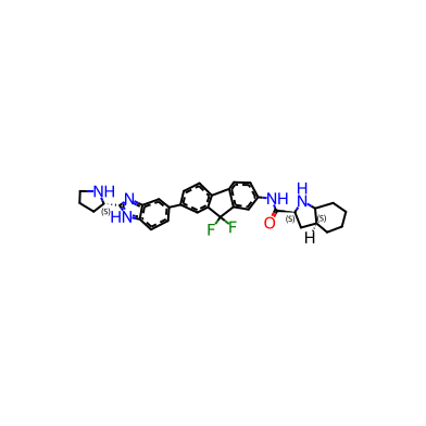 O=C(Nc1ccc2c(c1)C(F)(F)c1cc(-c3ccc4[nH]c([C@@H]5CCCN5)nc4c3)ccc1-2)[C@@H]1C[C@@H]2CCCCC2N1